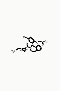 CC[C@@H]1C[C@H]1C(=O)N1CCc2ccccc2[C@H]1c1cc(Cl)ccc1OCC(=O)O